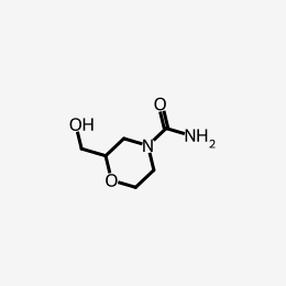 NC(=O)N1CCOC(CO)C1